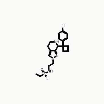 CCS(=O)(=O)NCCn1cc2c(n1)C(C1(c3ccc(Cl)cc3)CCC1)NCC2